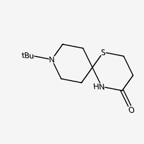 CC(C)(C)N1CCC2(CC1)NC(=O)CCS2